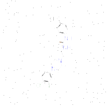 Cc1ccc(NC(=S)NCCN2CCN(c3ccc(Cl)c(Cl)c3)CC2)cc1